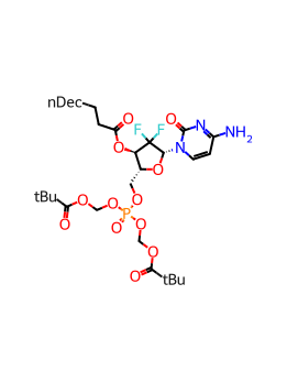 CCCCCCCCCCCCC(=O)O[C@@H]1[C@@H](COP(=O)(OCOC(=O)C(C)(C)C)OCOC(=O)C(C)(C)C)O[C@@H](n2ccc(N)nc2=O)C1(F)F